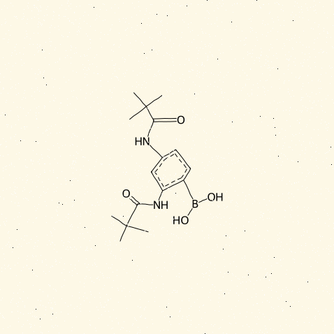 CC(C)(C)C(=O)Nc1ccc(B(O)O)c(NC(=O)C(C)(C)C)c1